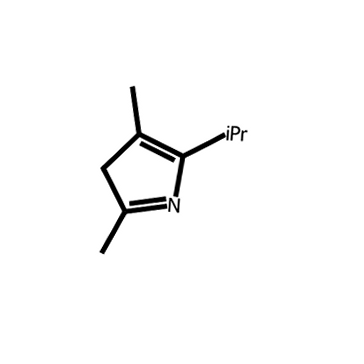 CC1=NC(C(C)C)=C(C)C1